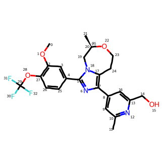 COc1cc(-c2nc(-c3cc(C)nc(CO)c3)c3n2C[C@@H](C)OCC3)ccc1OC(F)(F)F